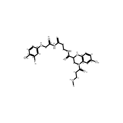 C=C(CCNC(=O)C1CN(C(=O)CCOC)c2cc(Cl)ccc2O1)NC(=O)COc1ccc(Cl)c(F)c1